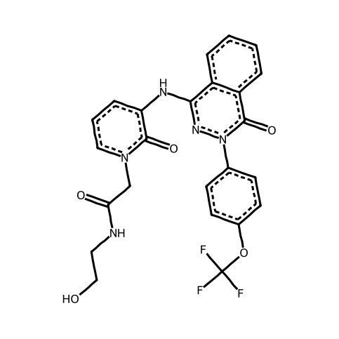 O=C(Cn1cccc(Nc2nn(-c3ccc(OC(F)(F)F)cc3)c(=O)c3ccccc23)c1=O)NCCO